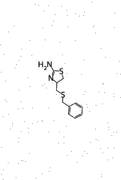 NC1=NC(CSCc2ccccc2)CS1